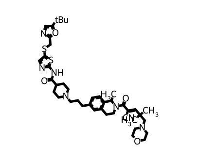 CC1c2ccc(CCCN3CCC(C(=O)Nc4ncc(SCc5ncc(C(C)(C)C)o5)s4)CC3)cc2CCN1C(=O)/C(C#N)=C/C(C)(C)CN1CCOCC1